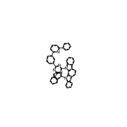 c1ccc(-c2cccc(-c3cccc(-c4nc(-c5ccccc5)nc(-n5c6ccccc6c6ccc7c8ccccc8n(-c8ccccc8)c7c65)n4)c3)n2)cc1